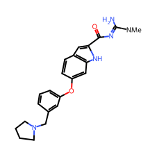 CNC(N)=NC(=O)c1cc2ccc(Oc3cccc(CN4CCCC4)c3)cc2[nH]1